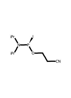 CC(C)N(C(C)C)[P@@](I)OCCC#N